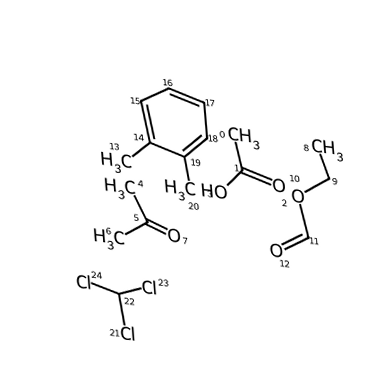 CC(=O)O.CC(C)=O.CCOC=O.Cc1ccccc1C.ClC(Cl)Cl